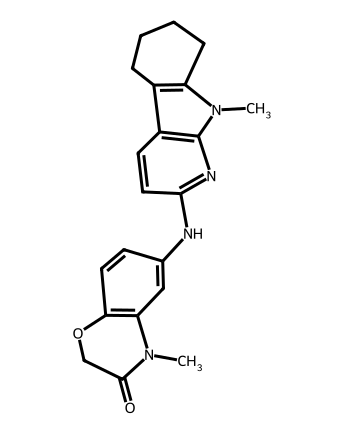 CN1C(=O)COc2ccc(Nc3ccc4c5c(n(C)c4n3)CCCC5)cc21